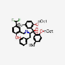 CCCCCCCCOc1ccc(C(C)(C)C)cc1C(O)(c1cc(C(C)(C)C)ccc1OCCCCCCCC)C(Cc1ccccc1)N=Cc1cc(C(F)F)ccc1O